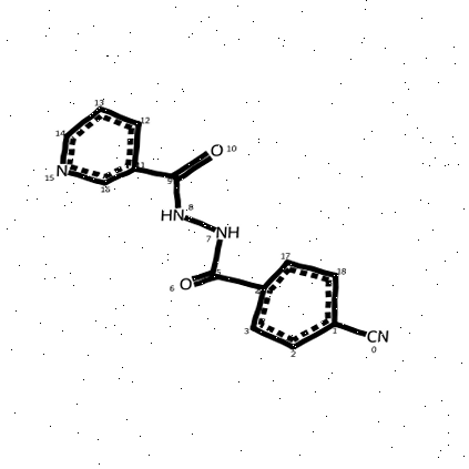 N#Cc1ccc(C(=O)NNC(=O)c2cccnc2)cc1